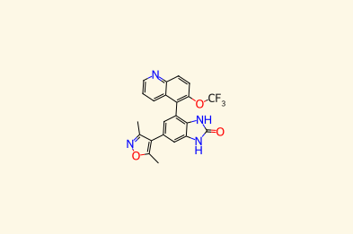 Cc1noc(C)c1-c1cc(-c2c(OC(F)(F)F)ccc3ncccc23)c2[nH]c(=O)[nH]c2c1